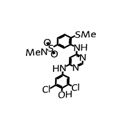 CNS(=O)(=O)c1ccc(SC)c(Nc2cc(Nc3cc(Cl)c(O)c(Cl)c3)ncn2)c1